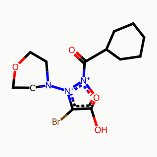 O=C(C1CCCCC1)[n+]1oc(O)c(Br)[n+]1N1CCOCC1